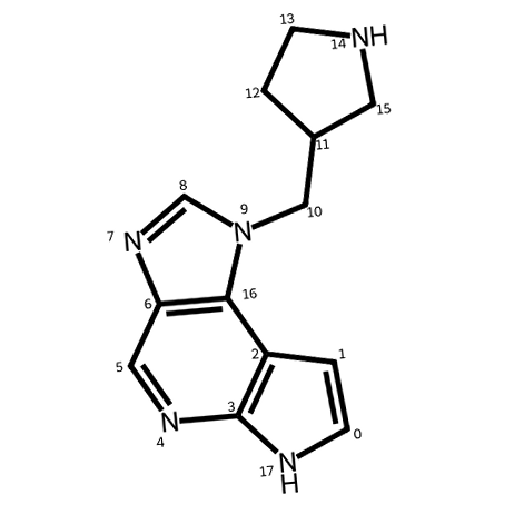 c1cc2c(ncc3ncn(CC4CCNC4)c32)[nH]1